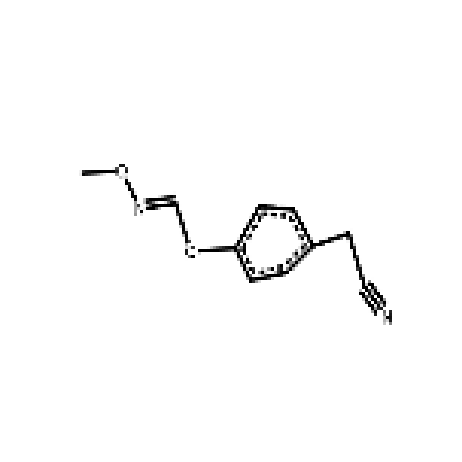 CON=COc1ccc(CC#N)cc1